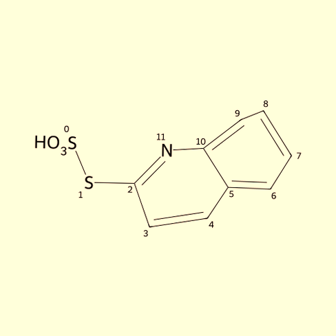 O=S(=O)(O)Sc1ccc2ccccc2n1